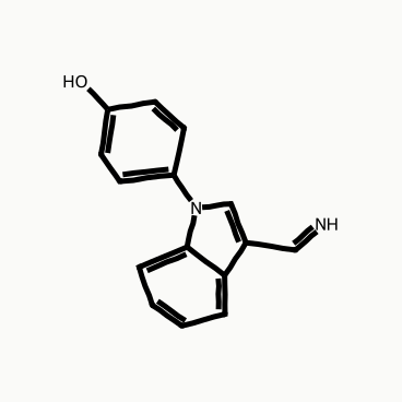 N=Cc1cn(-c2ccc(O)cc2)c2ccccc12